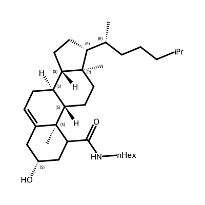 CCCCCCNC(=O)C1C[C@H](O)CC2=CC[C@H]3[C@@H]4CC[C@H]([C@H](C)CCCC(C)C)[C@@]4(C)CC[C@@H]3[C@]21C